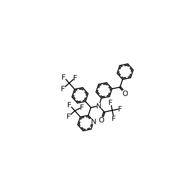 O=C(c1ccccc1)c1cccc(N(C(=O)C(F)(F)F)C(c2ccc(C(F)(F)F)cc2)c2ncccc2C(F)(F)F)c1